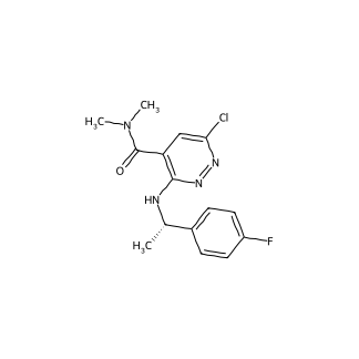 C[C@H](Nc1nnc(Cl)cc1C(=O)N(C)C)c1ccc(F)cc1